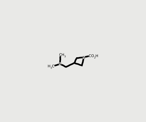 CN(C)CC1CN(C(=O)O)C1